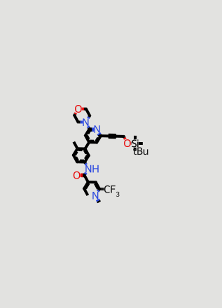 C=N/C(=C\C(=C/C)C(=O)Nc1ccc(C)c(-c2cc(C#CCO[Si](C)(C)C(C)(C)C)nc(N3CCOCC3)c2)c1)C(F)(F)F